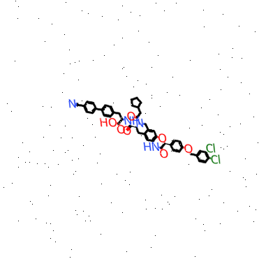 N#Cc1ccc(-c2ccc(CC(NC(=O)[C@@H]3Cc4cc5c(cc4CN3C(=O)CC3CCCC3)O[C@@H](c3ccc(OCc4ccc(Cl)c(Cl)c4)cc3)C(=O)N5)C(=O)O)cc2)cc1